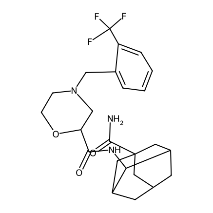 NC(=O)C12CC3CC(C1)C(NC(=O)C1CN(Cc4ccccc4C(F)(F)F)CCO1)C(C3)C2